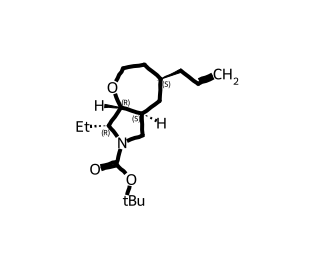 C=CC[C@@H]1CCO[C@@H]2[C@@H](C1)CN(C(=O)OC(C)(C)C)[C@@H]2CC